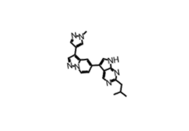 CC(C)Cc1ncc2c(-c3ccn4ncc(-c5cnn(C)c5)c4c3)c[nH]c2n1